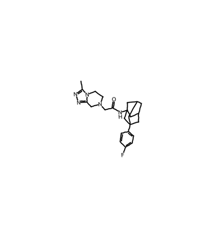 Cc1nnc2n1CCN(CC(=O)NC13CC4CC(C1)CC(c1ccc(F)cc1)(C4)C3)C2